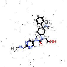 C=NCc1ncc(N2C[C@]3(CC[C@](c4ccccc4)(N(C)C)CC3)N(CCO)C2=O)cn1